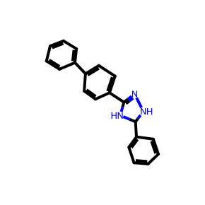 c1ccc(-c2ccc(C3=NNC(c4ccccc4)N3)cc2)cc1